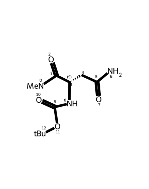 CNC(=O)[C@H](CC(N)=O)NC(=O)OC(C)(C)C